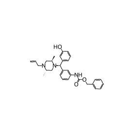 C=CCN1C[C@@H](C)N([C@@H](c2cccc(O)c2)c2cccc(NC(=O)OCc3ccccc3)c2)C[C@@H]1C